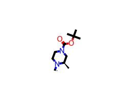 [CH2]N1CCN(C(=O)OC(C)(C)C)C[C@H]1C